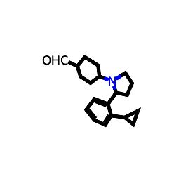 O=CC1CCC(N2CCCC2c2ccccc2C2CC2)CC1